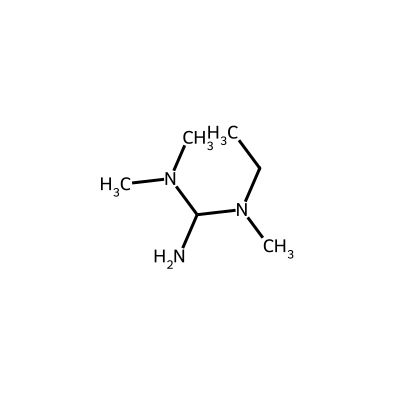 CCN(C)C(N)N(C)C